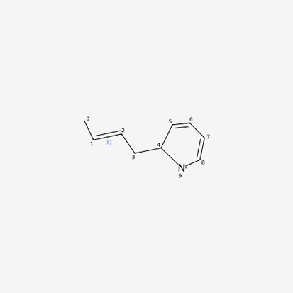 C/C=C/CC1C=CC=C[N]1